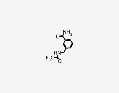 NC(=O)c1cccc(CNC(=O)C(F)(F)F)c1